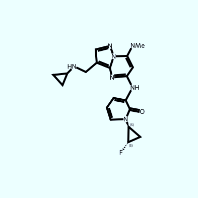 CNc1cc(Nc2cccn([C@H]3C[C@@H]3F)c2=O)nc2c(CNC3CC3)cnn12